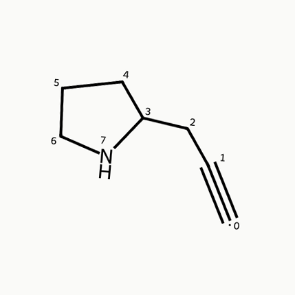 [C]#CCC1CCCN1